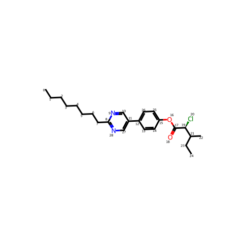 CCCCCCCCc1ncc(-c2ccc(OC(=O)[C@@H](Cl)C(C)CC)cc2)cn1